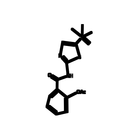 C=S(C)(C)(C)c1cnc(NC(=O)c2ccccc2OC(C)=O)s1